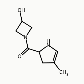 CC1=CNC(C(=O)N2CC(O)C2)C1